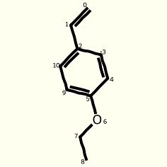 C=Cc1[c]cc(OCC)cc1